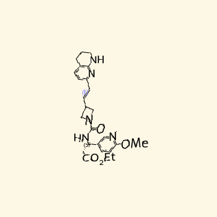 CCOC(=O)C[C@H](NC(=O)N1CC(/C=C/c2ccc3c(n2)NCCC3)C1)c1ccc(OC)nc1